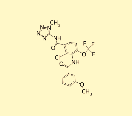 COc1cccc(C(=O)Nc2c(OC(F)(F)F)ccc(C(=O)Nc3nnnn3C)c2Cl)c1